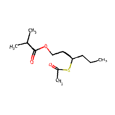 CCCC(CCOC(=O)C(C)C)SC(C)=O